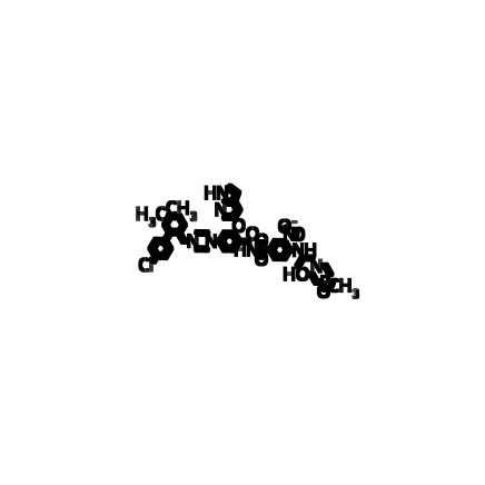 CC1(C)CCC(CN2CCN(c3ccc(C(=O)NS(=O)(=O)c4ccc(NC(CO)CN5CCP(C)(=O)CC5)c([N+](=O)[O-])c4)c(Oc4cnc5[nH]ccc5c4)c3)CC2)=C(c2ccc(Cl)cc2)C1